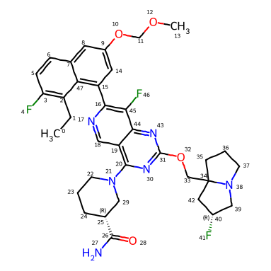 CCc1c(F)ccc2cc(OCOC)cc(-c3ncc4c(N5CCC[C@@H](C(N)=O)C5)nc(OCC56CCCN5C[C@H](F)C6)nc4c3F)c12